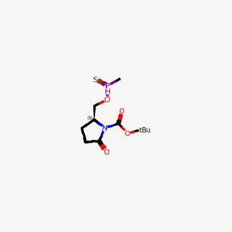 C[PH](=S)OC[C@@H]1CCC(=O)N1C(=O)OC(C)(C)C